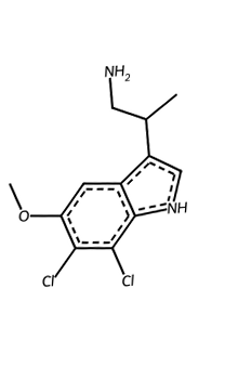 COc1cc2c(C(C)CN)c[nH]c2c(Cl)c1Cl